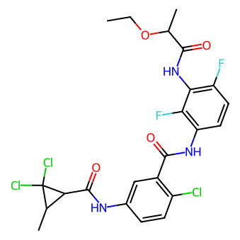 CCOC(C)C(=O)Nc1c(F)ccc(NC(=O)c2cc(NC(=O)C3C(C)C3(Cl)Cl)ccc2Cl)c1F